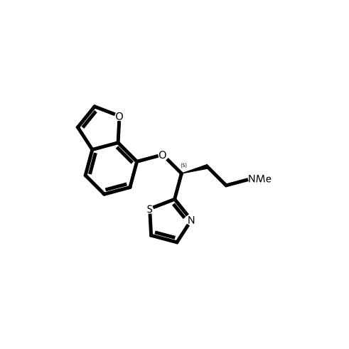 CNCC[C@H](Oc1cccc2ccoc12)c1nccs1